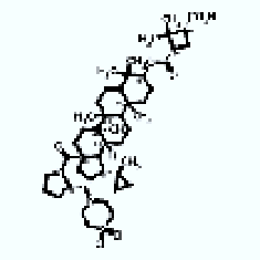 CC1([C@@H]2CC[C@]3(C(=O)N4CCC[C@H]4CN4CCS(=O)(=O)CC4)CC[C@]4(C)[C@H](CCC5[C@@]6(C)CC[C@H](OC(=O)[C@H]7C[C@@H](C(=O)O)C7(C)C)C(C)(C)C6CC[C@]54C)C23)CC1